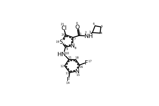 O=C(NC1CCC1)c1nc(Nc2cc(F)nc(F)c2)sc1Cl